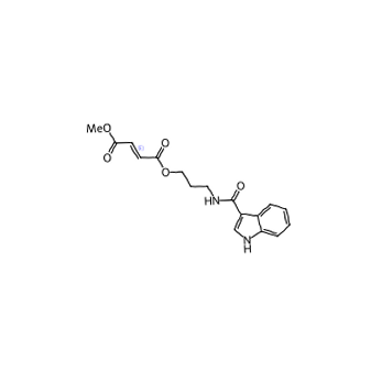 COC(=O)/C=C/C(=O)OCCCNC(=O)c1c[nH]c2ccccc12